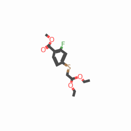 CCOC(CSc1ccc(C(=O)OC)c(F)c1)OCC